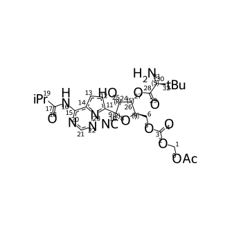 CC(=O)OCOC(=O)OC[C@H]1O[C@@](C#N)(c2ccc3c(NC(=O)C(C)C)ncnn23)[C@H](O)[C@@H]1OC(=O)[C@@H](N)C(C)(C)C